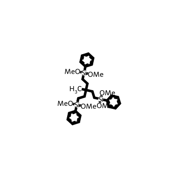 CO[Si](CCC(C)(CC[Si](OC)(OC)c1ccccc1)CC[Si](OC)(OC)c1ccccc1)(OC)c1ccccc1